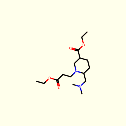 CCOC(=O)CCN1CC(C(=O)OCC)CCC1CN(C)C